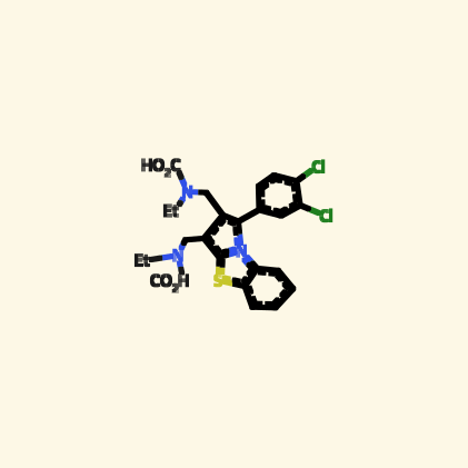 CCN(Cc1c(CN(CC)C(=O)O)c2sc3ccccc3n2c1-c1ccc(Cl)c(Cl)c1)C(=O)O